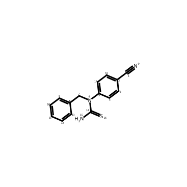 N#Cc1ccc(N(Cc2ccccc2)C(N)=S)cc1